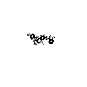 COc1ccccc1C(=O)NCc1ccc(-c2nn(C3CCC(O)CC3)c3ncnc(N)c23)cc1